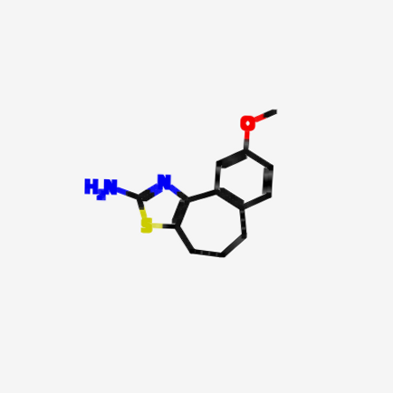 COc1ccc2c(c1)-c1nc(N)sc1CCC2